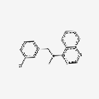 CN(Cc1cccc(Cl)c1)c1ncnc2ccccc12